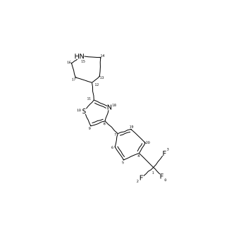 FC(F)(F)c1ccc(-c2csc(C3CCNCC3)n2)cc1